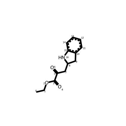 CCOC(=O)C(=O)CC1Cc2ccccc2N1